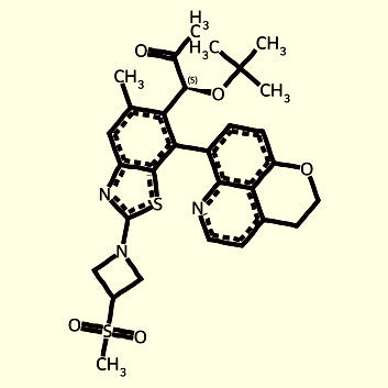 CC(=O)[C@@H](OC(C)(C)C)c1c(C)cc2nc(N3CC(S(C)(=O)=O)C3)sc2c1-c1ccc2c3c(ccnc13)CCO2